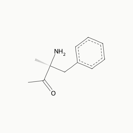 CC(=O)[C@@](C)(N)Cc1ccccc1